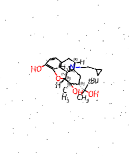 CC(C)(C)C(C)(O)[C@H]1C[C@]2(C)[C@H]3Cc4ccc(O)c5c4[C@@]2(CCN3CC2CC2)[C@@H](O5)[C@]1(C)O